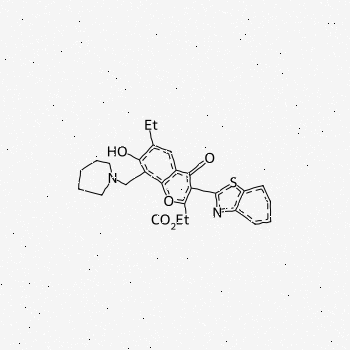 CCOC(=O)c1oc2c(CN3CCCCC3)c(O)c(CC)cc2c(=O)c1-c1nc2ccccc2s1